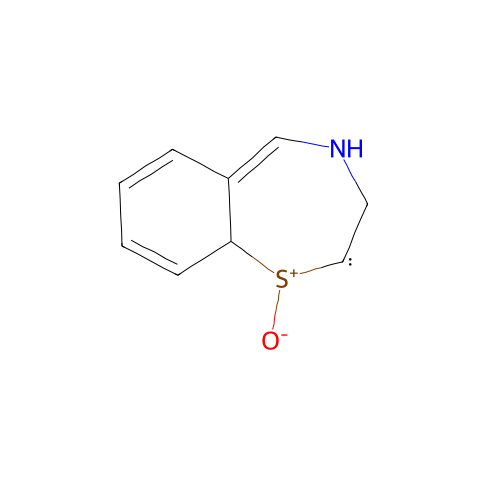 [O-][S+]1[C]CNC=C2C=CC=CC21